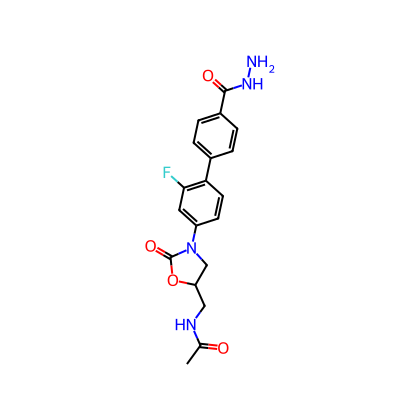 CC(=O)NCC1CN(c2ccc(-c3ccc(C(=O)NN)cc3)c(F)c2)C(=O)O1